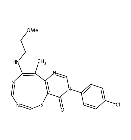 COCCNc1ncncsc2c(=O)n(-c3ccc(Cl)cc3)cnc2c1C